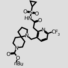 CCCCOC(=O)N1CCC2(CCCN2Cc2ccc(C(F)(F)F)nc2CC(=O)NS(=O)(=O)C2CC2)CC1